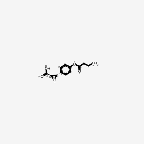 CCCC(=O)Oc1ccc([C@@H]2O[C@H]2C(=O)O)cc1